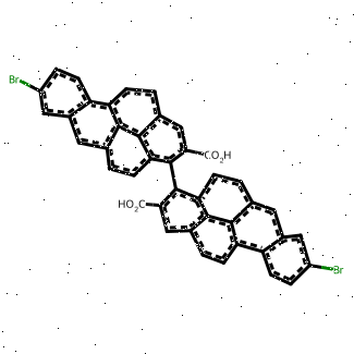 O=C(O)c1cc2ccc3c4ccc(Br)cc4cc4ccc(c1-c1c(C(=O)O)cc5ccc6c7ccc(Br)cc7cc7ccc1c5c76)c2c43